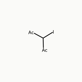 CC(=O)C(I)C(C)=O